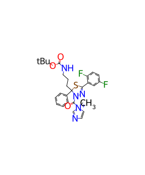 CC(C)(C)OC(=O)NCCCC1(c2ccccc2)SC(c2cc(F)ccc2F)=NN1C(=O)[N+]1(C)C=CN=C1